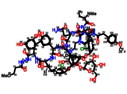 CN[C@H](CC(C)C)C(=O)N[C@H]1C(=O)N[C@@H](CC(N)=O)C(=O)N[C@H]2C(=O)N[C@H]3C(=O)N[C@H](C(=O)N[C@@H](C(=O)NNC(=O)CCOC)c4cc(O)cc(O)c4-c4cc3ccc4O)[C@H](O)c3ccc(c(Cl)c3)Oc3cc2cc(c3O[C@@H]2O[C@H](CO)[C@@H](O)[C@H](O)[C@H]2O[C@H]2C[C@](C)(NCCn3ccc(NC(=O)Cc4ccc(OC(F)(F)F)cc4)nc3=O)[C@H](O)[C@H](C)O2)Oc2ccc(cc2Cl)[C@H]1O